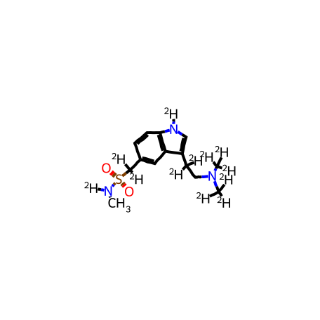 [2H]N(C)S(=O)(=O)C([2H])([2H])c1ccc2c(c1)c(C([2H])([2H])CN(C([2H])([2H])[2H])C([2H])([2H])[2H])cn2[2H]